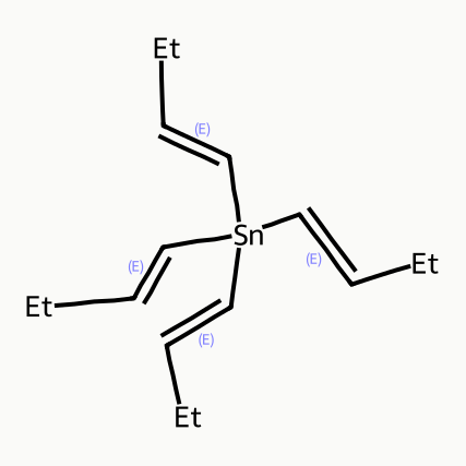 CC/C=[CH]/[Sn](/[CH]=C/CC)(/[CH]=C/CC)/[CH]=C/CC